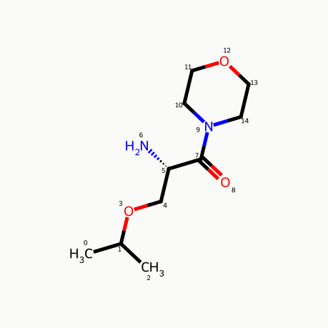 CC(C)OC[C@H](N)C(=O)N1CCOCC1